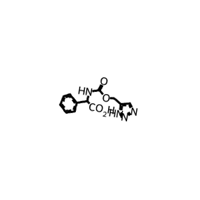 O=C(NC(C(=O)O)c1ccccc1)OCc1cnn[nH]1